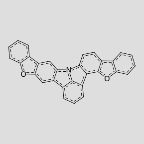 c1ccc2c(c1)oc1cc3c4cccc5c6c7oc8ccccc8c7ccc6n(c3cc12)c45